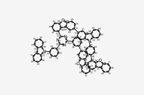 c1cc(-c2ccc3c(c2)oc2ccccc23)cc(-c2nc(-c3cccc(-n4c5ccccc5c5ccccc54)c3)nc(-c3cccc4oc5ccc(-c6ccc7c(c6)c6ccccc6n7-c6ccc(-c7cccc8c7oc7ccccc78)cc6)cc5c34)n2)c1